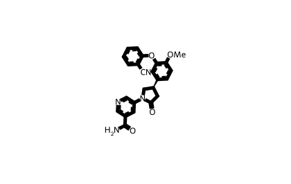 COc1ccc([C@H]2CC(=O)N(c3cncc(C(N)=O)c3)C2)cc1Oc1ccccc1C#N